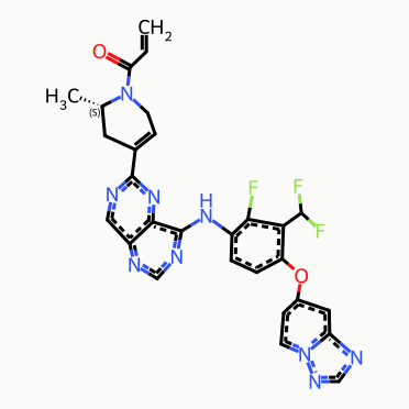 C=CC(=O)N1CC=C(c2ncc3ncnc(Nc4ccc(Oc5ccn6ncnc6c5)c(C(F)F)c4F)c3n2)C[C@@H]1C